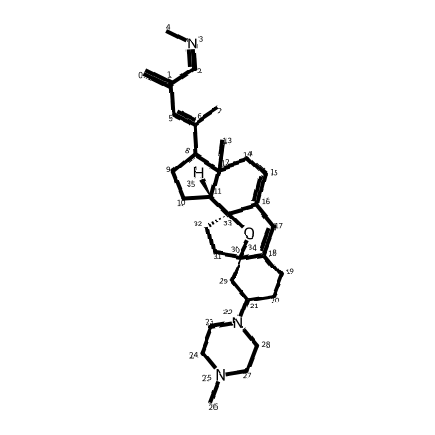 C=C(/C=N\C)/C=C(\C)C1CC[C@@H]2C1(C)CC=C1C=C3CCC(N4CCN(C)CC4)C[C@]34CC[C@@]12O4